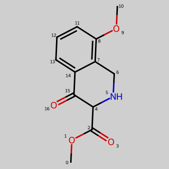 COC(=O)C1NCc2c(OC)cccc2C1=O